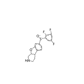 [O-][S+](c1ccc2c(c1)OC1CNCCC21)c1cc(F)cc(F)c1F